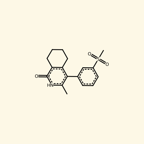 Cc1[nH]c(=O)c2c(c1-c1cccc(S(C)(=O)=O)c1)CCCC2